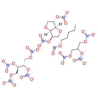 CCCCCON=O.O=[N+]([O-])OCC(CO[N+](=O)[O-])O[N+](=O)[O-].O=[N+]([O-])OC[C@H](O[N+](=O)[O-])[C@@H](CO[N+](=O)[O-])O[N+](=O)[O-].O=[N+]([O-])O[C@H]1CO[C@H]2[C@@H]1OC[C@H]2O[N+](=O)[O-]